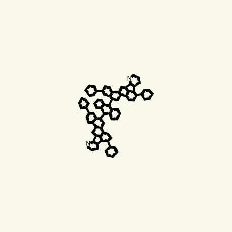 c1ccc(-c2ccc3c(c2)c(-c2c4ccccc4c(-c4cc5c6ccc(-c7ccccc7)c7c6c(cc5c5ccc(-c6ccccc6)cc45)-c4ncccc4-7)c4ccccc24)cc2c4ccc(-c5ccccc5)c5c4c(cc32)-c2ncccc2-5)cc1